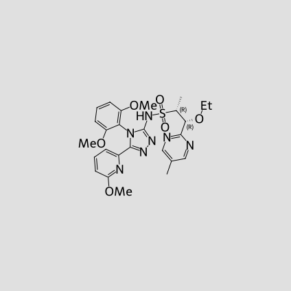 CCO[C@H](c1ncc(C)cn1)[C@@H](C)S(=O)(=O)Nc1nnc(-c2cccc(OC)n2)n1-c1c(OC)cccc1OC